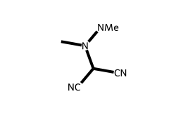 CNN(C)C(C#N)C#N